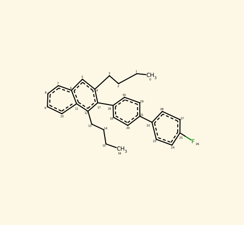 CCCCc1cc2ccccc2c(CCCC)c1-c1ccc(-c2ccc(F)cc2)cc1